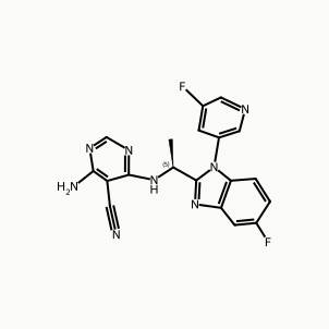 C[C@H](Nc1ncnc(N)c1C#N)c1nc2cc(F)ccc2n1-c1cncc(F)c1